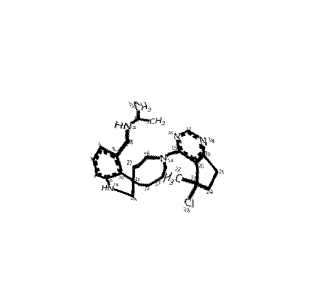 CC(C)NCc1cccc2c1C1(CCN(c3ncnc4c3C(C)(Cl)CC4)CC1)CN2